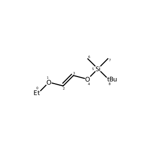 CCOC=CO[Si](C)(C)C(C)(C)C